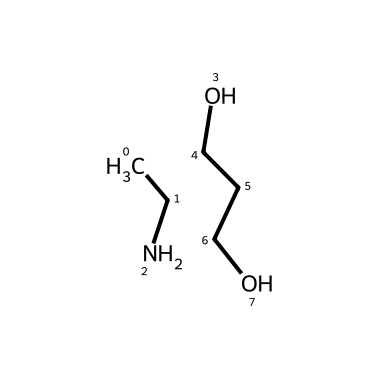 CCN.OCCCO